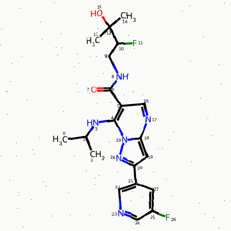 CC(C)Nc1c(C(=O)NCC(F)C(C)(C)O)cnc2cc(-c3cncc(F)c3)nn12